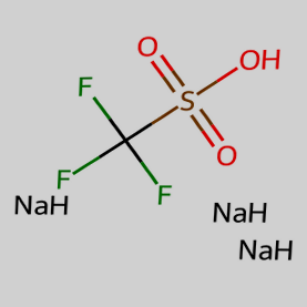 O=S(=O)(O)C(F)(F)F.[NaH].[NaH].[NaH]